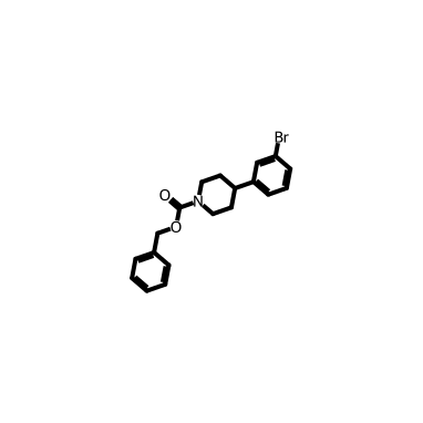 O=C(OCc1ccccc1)N1CCC(c2cccc(Br)c2)CC1